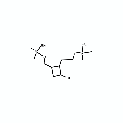 CC(C)(C)[Si](C)(C)OCCC1C(O)CC1CO[Si](C)(C)C(C)(C)C